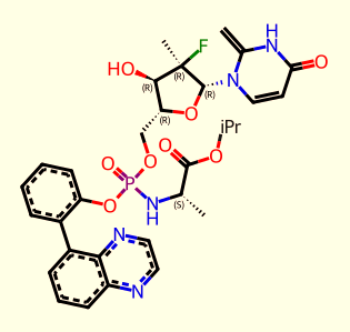 C=C1NC(=O)C=CN1[C@@H]1O[C@H](COP(=O)(N[C@@H](C)C(=O)OC(C)C)Oc2ccccc2-c2cccc3nccnc23)[C@@H](O)[C@@]1(C)F